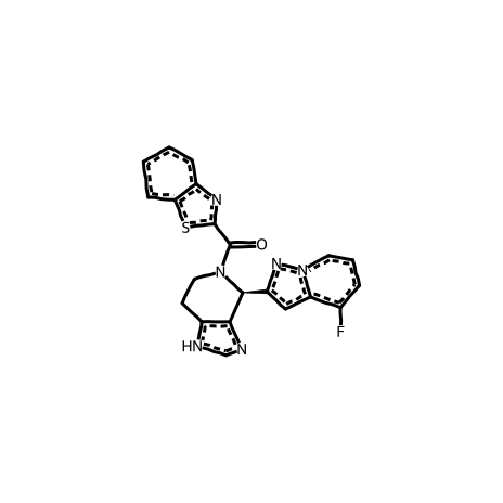 O=C(c1nc2ccccc2s1)N1CCc2[nH]cnc2[C@@H]1c1cc2c(F)cccn2n1